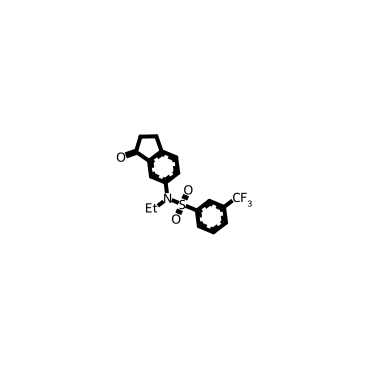 CCN(c1ccc2c(c1)C(=O)CC2)S(=O)(=O)c1cccc(C(F)(F)F)c1